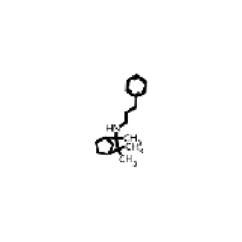 CC1(C)C2CCC(C2)C1(C)NCCCc1ccccc1